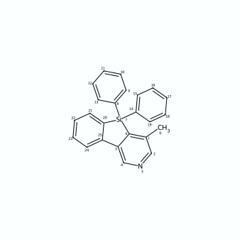 Cc1cncc2c1[Si](c1ccccc1)(c1ccccc1)c1ccccc1-2